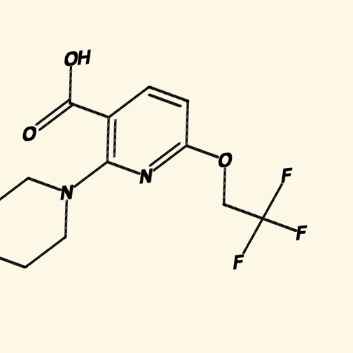 O=C(O)c1ccc(OCC(F)(F)F)nc1N1CCCCC1